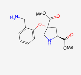 COC(=O)[C@@H]1C[C@](Oc2ccccc2CN)(C(=O)OC)CN1